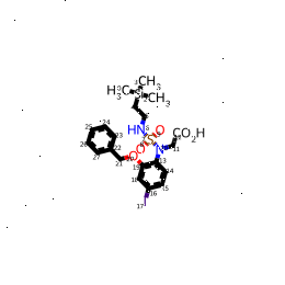 C[Si](C)(C)CCNS(=O)(=O)N(CC(=O)O)c1ccc(I)cc1OCc1ccccc1